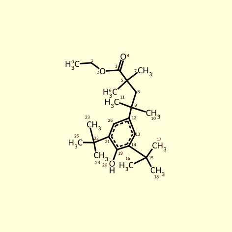 CCOC(=O)C(C)(C)CC(C)(C)c1cc(C(C)(C)C)c(O)c(C(C)(C)C)c1